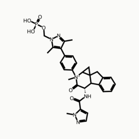 Cc1nn(COP(=O)(O)O)c(C)c1-c1ccc([N+]2(C)C(=O)[C@@H](NC(=O)c3ccnn3C)C3c4ccccc4CC34CC42)cc1